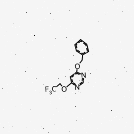 FC(F)(F)COc1cc(OCc2ccccc2)ncn1